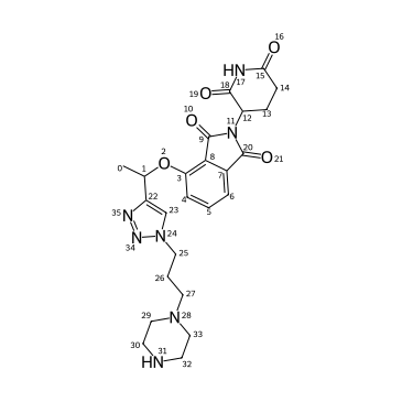 CC(Oc1cccc2c1C(=O)N(C1CCC(=O)NC1=O)C2=O)c1cn(CCCN2CCNCC2)nn1